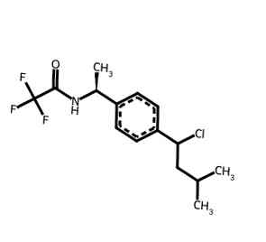 CC(C)CC(Cl)c1ccc([C@H](C)NC(=O)C(F)(F)F)cc1